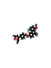 CC#C[C@@H](CC(C)=O)c1ccc(OCc2ccc(C(C)(C)C)c(-c3cc(OC)ccc3F)c2)cc1